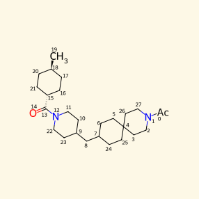 CC(=O)N1CCC2(CCC(CC3CCN(C(=O)[C@H]4CC[C@H](C)CC4)CC3)CC2)CC1